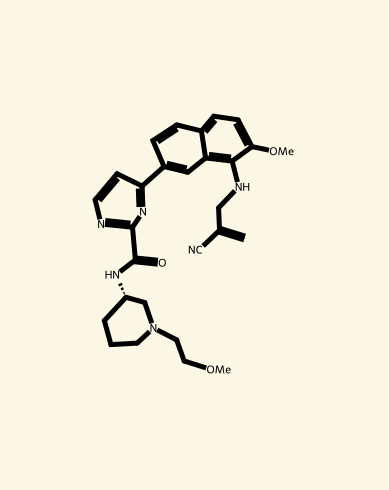 C=C(C#N)CNc1c(OC)ccc2ccc(-c3ccnc(C(=O)N[C@H]4CCCN(CCOC)C4)n3)cc12